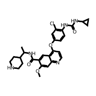 COc1cc2nccc(Oc3ccc(NC(=O)NC4CC4)c(Cl)c3)c2cc1C(=O)NC(C)C1CCNCC1